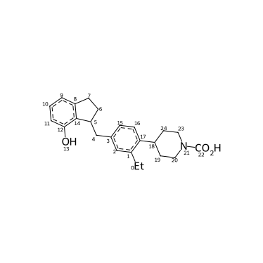 CCc1cc(CC2CCc3cccc(O)c32)ccc1C1CCN(C(=O)O)CC1